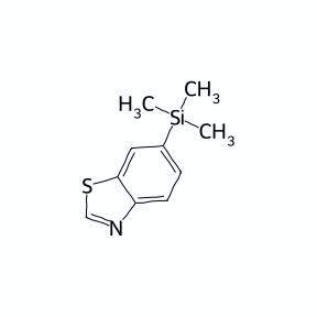 C[Si](C)(C)c1ccc2ncsc2c1